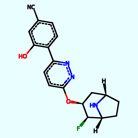 N#Cc1ccc(-c2ccc(O[C@H]3C[C@@H]4CC[C@@H](N4)[C@H]3F)nn2)c(O)c1